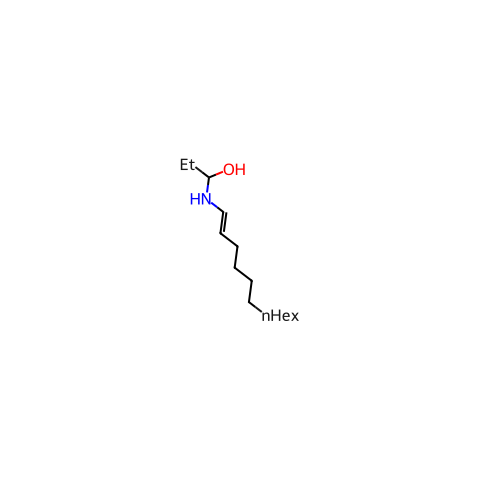 CCCCCCCCCCC=CNC(O)CC